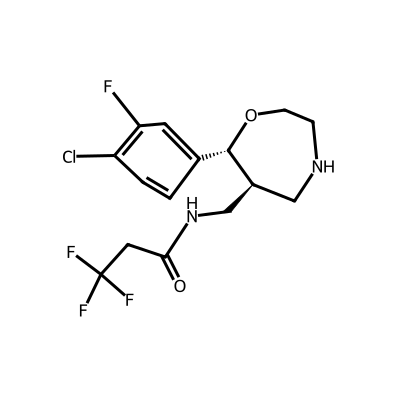 O=C(CC(F)(F)F)NC[C@@H]1CNCCO[C@H]1c1ccc(Cl)c(F)c1